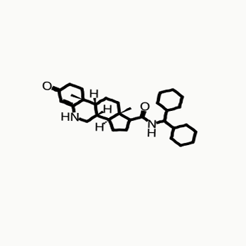 C[C@]12CCC(=O)C=C1NC[C@@H]1[C@H]2CC[C@]2(C)C(C(=O)NC(C3CCCCC3)C3CCCCC3)CC[C@@H]12